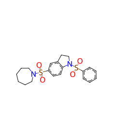 O=S(=O)(c1ccc2c(c1)CCN2S(=O)(=O)c1ccccc1)N1CCCCCC1